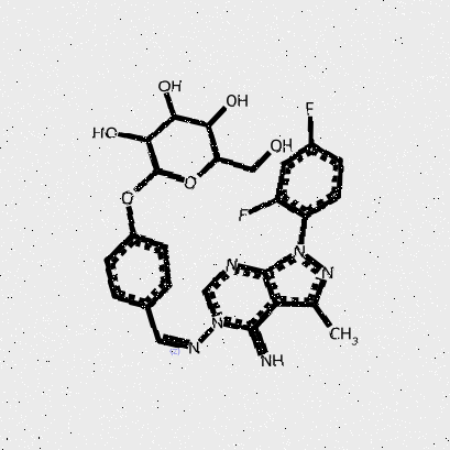 Cc1nn(-c2ccc(F)cc2F)c2ncn(/N=C\c3ccc(OC4OC(CO)C(O)C(O)C4O)cc3)c(=N)c12